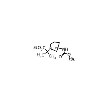 CCOC(=O)C(C)(C)N1CCC[C@@H](NC(=O)OC(C)(C)C)C1